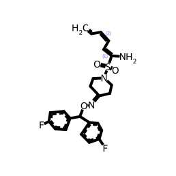 C=C/C=C\C=C(/N)S(=O)(=O)N1CCC(=NOC(c2ccc(F)cc2)c2ccc(F)cc2)CC1